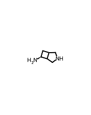 N[C@H]1CC2CNCC21